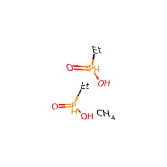 C.CC[PH](=O)O.CC[PH](=O)O